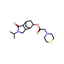 CC(C)N1CC2C3CC(CC3OC(=O)CN3CCSCC3)C2C1=O